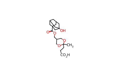 CC1(CCC(=O)O)OCC(COC(=O)C23CC4CC(CC(O)(C4)C2)C3)CO1